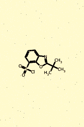 CC(C)(C)c1nc2cccc(S(=O)(=O)Cl)c2o1